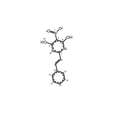 O=[N+]([O-])c1c(O)nc(/C=C/c2ccccc2)nc1O